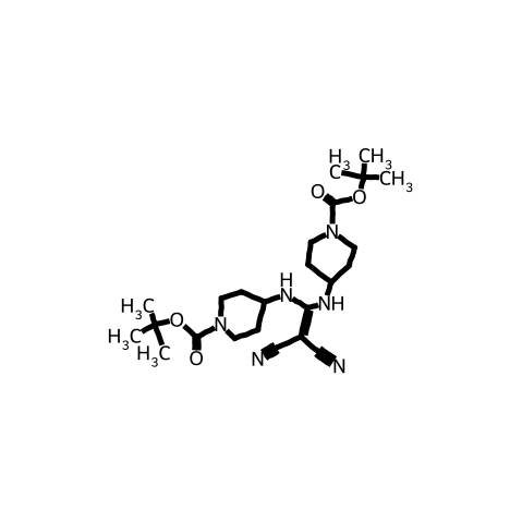 CC(C)(C)OC(=O)N1CCC(NC(NC2CCN(C(=O)OC(C)(C)C)CC2)=C(C#N)C#N)CC1